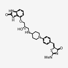 CNC1=NC(=O)C(=Cc2ccc(N3CCC(NC[C@@H](O)COc4cccc5[nH]c(=O)[nH]c45)CC3)cc2)S1